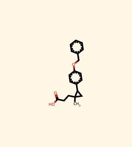 CC1(CCC(=O)O)CC1c1ccc(OCc2ccccc2)cc1